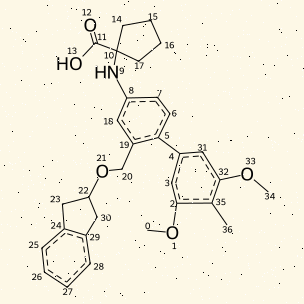 COc1cc(-c2ccc(NC3(C(=O)O)CCCC3)cc2COC2Cc3ccccc3C2)cc(OC)c1C